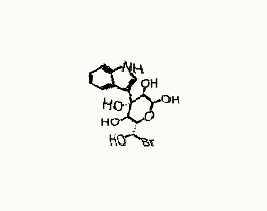 OC(Br)[C@H]1O[C@H](O)[C@H](O)[C@](O)(c2c[nH]c3ccccc23)[C@@H]1O